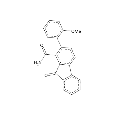 COc1ccccc1-c1ccc2c(c1C(N)=O)C(=O)c1ccccc1-2